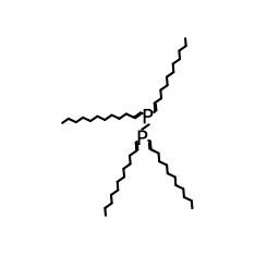 CCCCCCCCCCC=CP(C=CCCCCCCCCCC)CCP(C=CCCCCCCCCCC)C=CCCCCCCCCCC